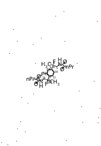 CCCS(=O)(=O)NCC(C)(F)c1ccc(C(C)(F)CNS(=O)(=O)CCC)c(F)c1